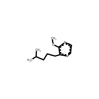 COc1nccnc1CCCC(C)C